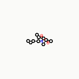 c1ccc(N(c2ccc(-c3ccc4c(ccc5ccccc54)c3)cc2)c2cccc3oc4c5ccccc5ccc4c23)c(-c2cccc3c2oc2ccccc23)c1